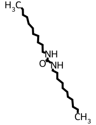 CCCCCCCCCCCNC(=O)NCCCCCCCCCCC